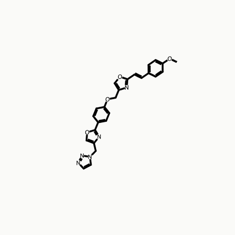 COc1ccc(C=Cc2nc(COc3ccc(-c4nc(Cn5ccnn5)co4)cc3)co2)cc1